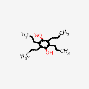 CCCc1c(O)c(CCC)c(CCC)c(O)c1CCC